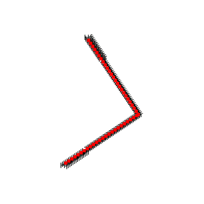 [Hf].[Hf].[Hf].[Hf].[Hf].[Hf].[Hf].[Hf].[Hf].[Hf].[Hf].[Hf].[Hf].[Hf].[Hf].[Hf].[Hf].[Hf].[Hf].[Hf].[Hf].[Hf].[Hf].[Hf].[Hf].[Hf].[Hf].[Hf].[Hf].[Hf].[Zr].[Zr].[Zr].[Zr].[Zr].[Zr].[Zr].[Zr].[Zr].[Zr].[Zr].[Zr].[Zr].[Zr].[Zr].[Zr].[Zr].[Zr].[Zr].[Zr].[Zr].[Zr].[Zr].[Zr].[Zr].[Zr].[Zr].[Zr].[Zr].[Zr].[Zr].[Zr].[Zr].[Zr].[Zr].[Zr].[Zr].[Zr].[Zr].[Zr].[Zr].[Zr].[Zr].[Zr].[Zr].[Zr].[Zr].[Zr].[Zr].[Zr].[Zr].[Zr].[Zr].[Zr].[Zr].[Zr].[Zr].[Zr].[Zr].[Zr].[Zr].[Zr].[Zr].[Zr].[Zr].[Zr].[Zr].[Zr].[Zr].[Zr]